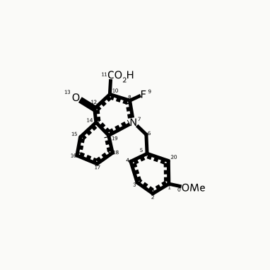 COc1cccc(Cn2c(F)c(C(=O)O)c(=O)c3ccccc32)c1